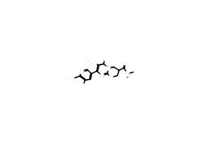 CN(C)C(=O)C1CSC2=NC(c3cnc(C(C)(C)C)c(F)c3)=C(C#N)C(O)N2C1